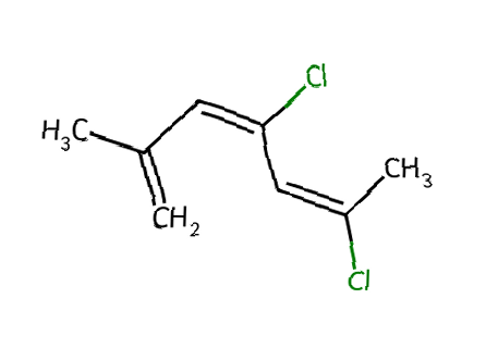 C=C(C)/C=C(Cl)\C=C(/C)Cl